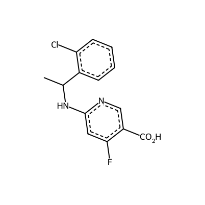 CC(Nc1cc(F)c(C(=O)O)cn1)c1ccccc1Cl